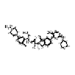 C[C@H](C(=O)N[C@H](CO)c1cc(N2CCN(C)CC2)ncc1F)N1Cc2ccc(-c3nc(NC4CCOCC4)ncc3Cl)cc2C1=O